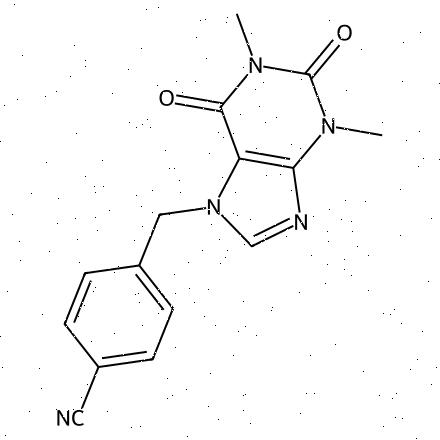 Cn1c(=O)c2c(ncn2Cc2ccc(C#N)cc2)n(C)c1=O